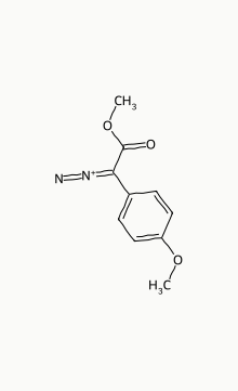 COC(=O)C(=[N+]=[N-])c1ccc(OC)cc1